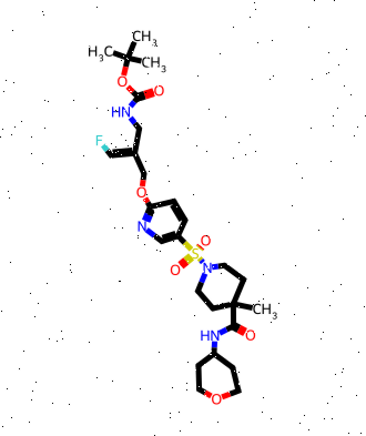 CC(C)(C)OC(=O)NCC(=CF)COc1ccc(S(=O)(=O)N2CCC(C)(C(=O)NC3CCOCC3)CC2)cn1